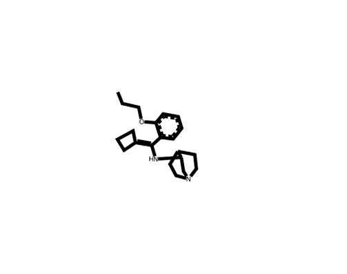 CCCOc1ccccc1C(NC1CN2CCC1CC2)=C1CCC1